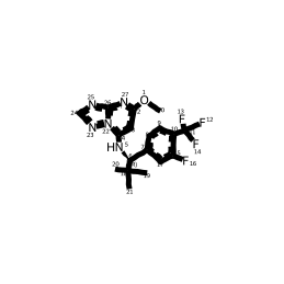 COc1cc(N[C@@H](c2ccc(C(F)(F)F)c(F)c2)C(C)(C)C)n2ncnc2n1